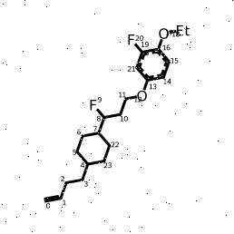 C=CCCC1CCC(C(F)CCOc2ccc(OCC)c(F)c2)CC1